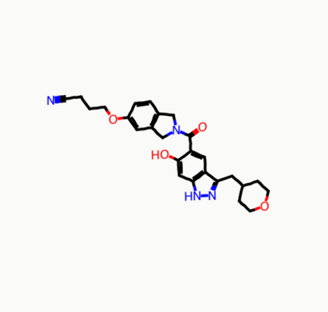 N#CCCCOc1ccc2c(c1)CN(C(=O)c1cc3c(CC4CCOCC4)n[nH]c3cc1O)C2